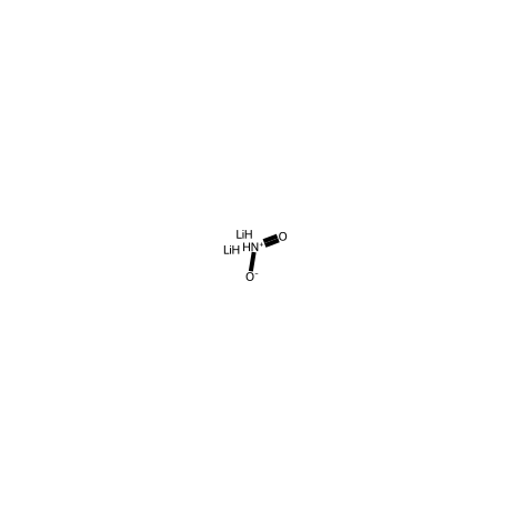 O=[NH+][O-].[LiH].[LiH]